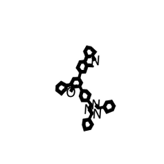 c1ccc(-c2nc(-c3ccccc3)nc(-c3ccc(-c4cc(-c5ccc6c(cnc7ccccc76)c5)cc5c4oc4ccccc45)cc3)n2)cc1